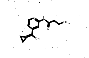 CCCC(=O)Nc1cc(C(O)=C2CC2)ccn1